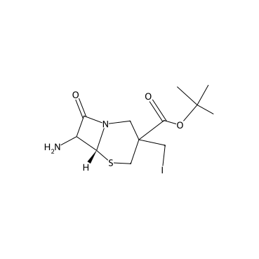 CC(C)(C)OC(=O)C1(CI)CS[C@@H]2C(N)C(=O)N2C1